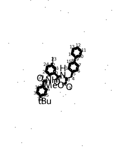 COC(=O)[C@H](Cc1ccc(-c2ccccc2)cc1)NC(=O)c1cc(I)ccc1NC(=O)c1ccc(C(C)(C)C)cc1